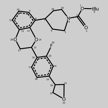 CC(C)(C)OC(=O)N1CCC(c2cccc3c2OC(c2ccc(C4COC4)cc2F)CO3)CC1